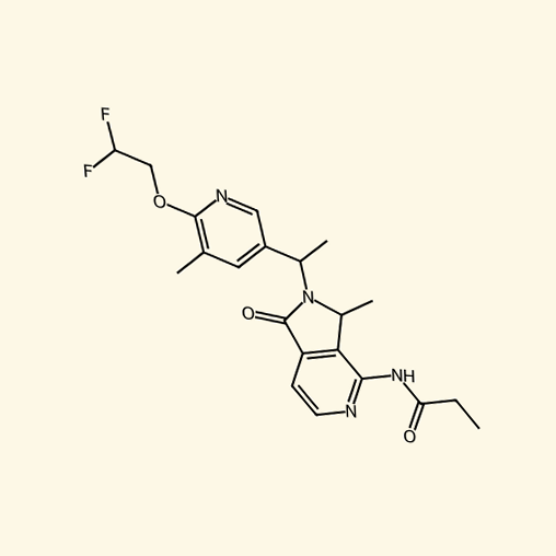 CCC(=O)Nc1nccc2c1C(C)N(C(C)c1cnc(OCC(F)F)c(C)c1)C2=O